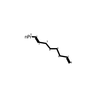 [CH2]CCC=CCCCCC=C